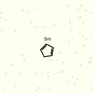 C1=CCC=C1.[Sm]